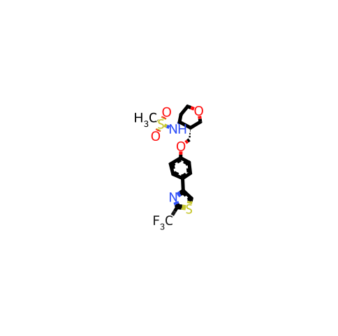 CS(=O)(=O)N[C@H]1CCOC[C@@H]1COc1ccc(-c2csc(C(F)(F)F)n2)cc1